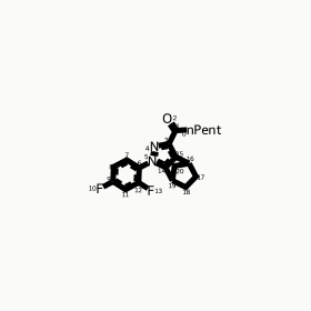 CCCCCC(=O)c1nn(-c2ccc(F)cc2F)c2c1C1CCC2C1